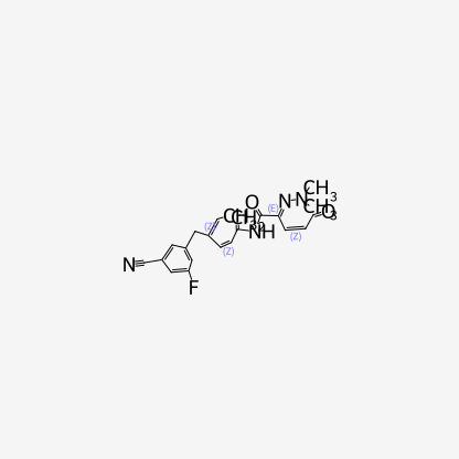 C=C(/C=C\C(=C/C)Cc1cc(F)cc(C#N)c1)NC(=O)C(/C=C\C=O)=N/N(C)C